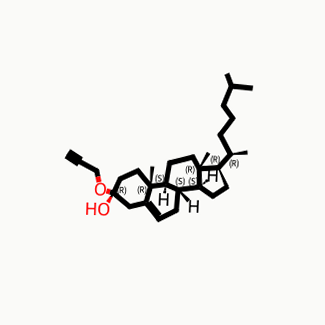 C#CCO[C@]1(O)CC[C@@]2(C)C(=CC[C@H]3[C@@H]4CC[C@H]([C@H](C)CCCC(C)C)[C@@]4(C)CC[C@@H]32)C1